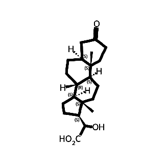 C[C@]12CCC(=O)C[C@@H]1CC[C@@H]1[C@@H]2CC[C@]2(C)[C@@H](C(O)C(=O)O)CC[C@@H]12